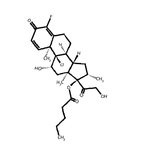 CCCCC(=O)O[C@]1(C(=O)CO)[C@@H](C)C[C@H]2[C@@H]3CCC4=C(F)C(=O)C=C[C@]4(C)[C@@]3(Cl)[C@@H](O)C[C@@]21C